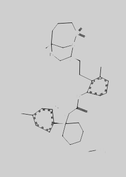 CO[C@H]1CC[C@@](c2ccc(Cl)cc2)([C@H](N)C(=O)Nc2cccc(F)c2CC[C@H]2CN[C@@H]3CCCS(=O)(=O)N2C3)CC1